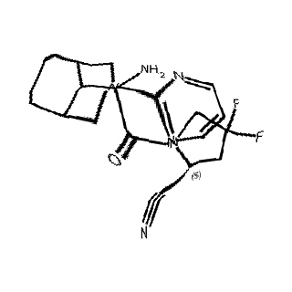 N#C[C@@H]1CC(F)(F)CN1C(=O)C(N)C1C2CCC1CN(c1ncccn1)C2